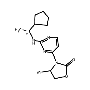 CC(C)C1COC(=O)N1c1ccnc(N[C@H](C)C2CCCC2)n1